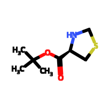 CC(C)(C)OC(=O)[C@@H]1CSCN1